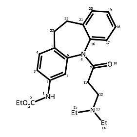 CCOC(=O)Nc1ccc2c(c1)N(C(=O)CCN(CC)CC)c1ccccc1CC2